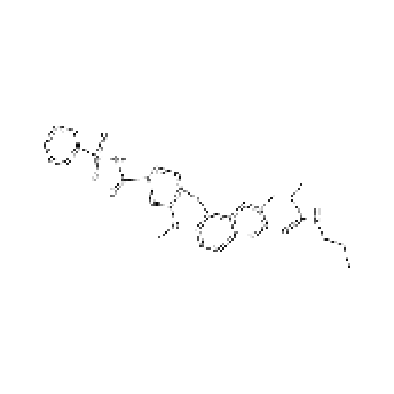 CCCNC(=O)C(C)Cc1ccc2cccc(Cc3ccc(C(=O)NS(=O)(=O)c4ccccc4)cc3OC)c2c1